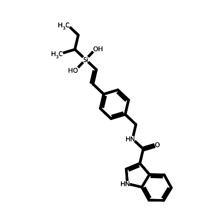 CCC(C)[Si](O)(O)/C=C/c1ccc(CNC(=O)c2c[nH]c3ccccc23)cc1